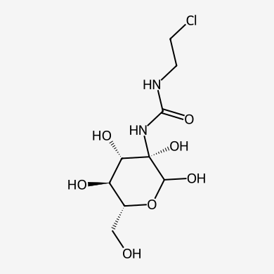 O=C(NCCCl)N[C@@]1(O)C(O)O[C@H](CO)[C@@H](O)[C@@H]1O